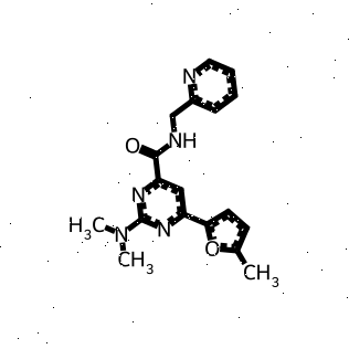 Cc1ccc(-c2cc(C(=O)NCc3ccccn3)nc(N(C)C)n2)o1